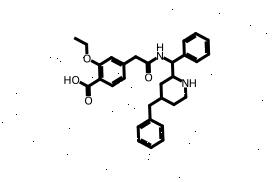 CCOc1cc(CC(=O)NC(c2ccccc2)C2CC(Cc3ccccc3)CCN2)ccc1C(=O)O